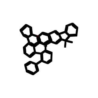 CC1(C)c2ccccc2-c2ccc(N(c3ccc4ccccc4c3)c3cccc(-c4ccccc4)c3-c3ccccc3-c3ccccc3)cc21